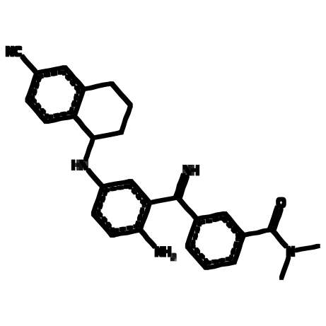 CN(C)C(=O)c1cccc(C(=N)c2cc(NC3CCCc4cc(C#N)ccc43)ccc2N)c1